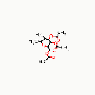 CC(=O)OCC1OC(C)C(C)C(OC(C)=O)C1OC(C)=O